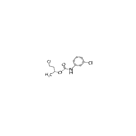 CC(CCCl)OC(=O)Nc1cccc(Cl)c1